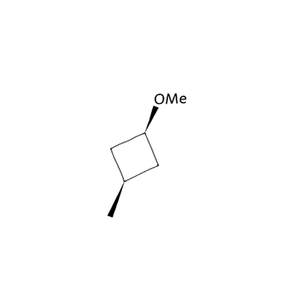 CO[C@H]1C[C@@H](C)C1